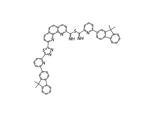 CC1(C)c2ccccc2-c2ccc(-c3cccc(C(=N)SC(=N)c4ccc5ccc6ccc(-c7nnc(-c8cccc(-c9ccc%10c(c9)C(C)(C)c9ccccc9-%10)n8)s7)nc6c5n4)n3)cc21